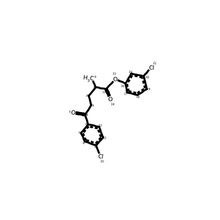 CC(CCC(=O)c1ccc(Cl)cc1)C(=O)Oc1cccc(Cl)c1